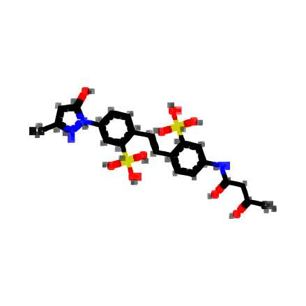 CC(=O)CC(=O)Nc1ccc(/C=C/c2ccc(-n3[nH]c(C)cc3=O)cc2S(=O)(=O)O)c(S(=O)(=O)O)c1